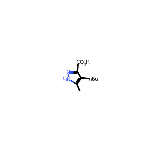 CCCCc1c(C(=O)O)n[nH]c1C